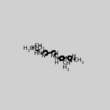 Cc1cc(Nc2nccc(-c3ccc(NC(=O)CN(C)C)nc3)n2)ccc1N1C[C@@H]2C[C@H]1CN2C